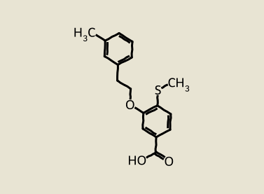 CSc1ccc(C(=O)O)cc1OCCc1cccc(C)c1